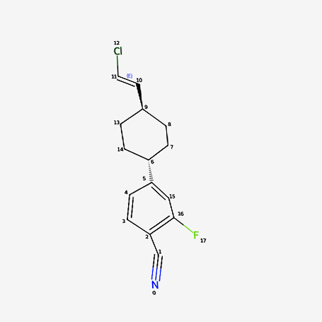 N#Cc1ccc([C@H]2CC[C@H](/C=C/Cl)CC2)cc1F